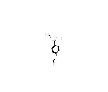 NC(OCF)c1ccc(OCF)cc1